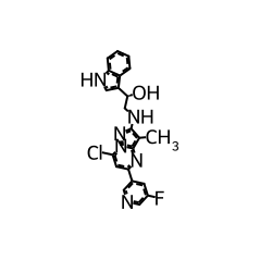 Cc1c(NC[C@H](O)c2c[nH]c3ccccc23)nn2c(Cl)cc(-c3cncc(F)c3)nc12